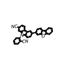 N#Cc1ccc2c3cc(-c4ccc5c(c4)oc4ccccc45)ccc3n(-c3ccccc3C#N)c2c1